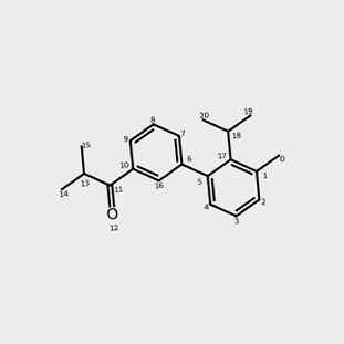 Cc1cccc(-c2cccc(C(=O)C(C)C)c2)c1C(C)C